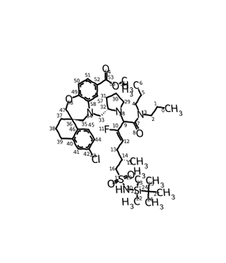 CCCN(CCC)C(=O)C(/C(F)=C/C[C@H](C)CS(=O)(=O)N[Si](C)(C)C(C)(C)C)N1CCC[C@H]1CN1C[C@@]2(CCCc3cc(Cl)ccc32)COc2ccc(C(=O)OC)cc21